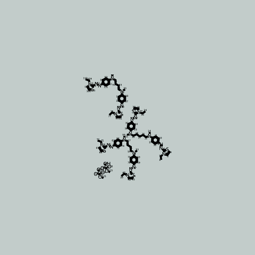 CC[n+]1ccsc1N=Nc1ccc(N(C)CCCCCN(C)c2ccc(N=Nc3scc[n+]3CC)cc2)cc1.CC[n+]1ccsc1N=Nc1ccc(N(C)CCCCN(C)c2ccc(N=Nc3scc[n+]3CC)cc2)cc1.CC[n+]1ccsc1N=Nc1ccc(N(C)CCCCN(C)c2ccc(N=Nc3scc[n+]3CC)cc2)cc1.COS(=O)(=O)O.COS(=O)(=O)O